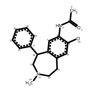 CC(=O)Nc1cc2c(cc1Cl)CCN(C)CC2c1ccccc1